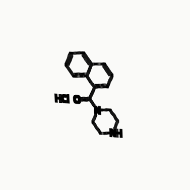 Cl.O=C(c1cccc2ccccc12)N1CCNCC1